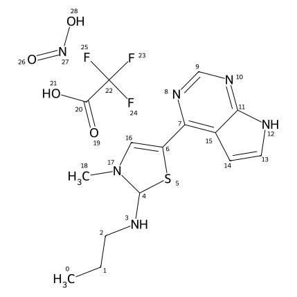 CCCNC1SC(c2ncnc3[nH]ccc23)=CN1C.O=C(O)C(F)(F)F.O=NO